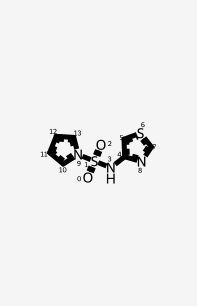 O=S(=O)(Nc1cscn1)n1cccc1